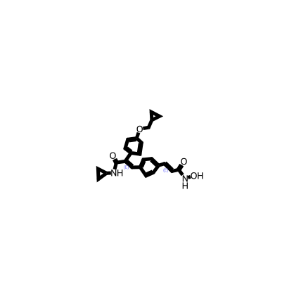 O=C(/C=C/c1ccc(/C=C(/C(=O)NC2CC2)c2ccc(OCC3CC3)cc2)cc1)NO